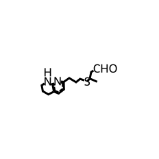 CC(CC=O)SCCCc1ccc2c(n1)NCCC2